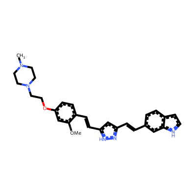 COc1cc(OCCN2CCN(C)CC2)ccc1C=Cc1cc(C=Cc2ccc3cc[nH]c3c2)n[nH]1